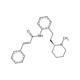 CN1CCCC[C@H]1CCc1ccccc1NC(=O)/C=C/c1ccccc1